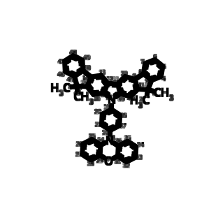 CC1(C)c2ccccc2-c2cc3c4cc5c(cc4n(-c4ccc(N6c7ccccc7Oc7ccccc76)cc4)c3cc21)C(C)(C)c1ccccc1-5